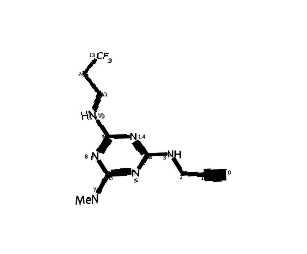 C#CCNc1nc(NC)nc(NCCC(F)(F)F)n1